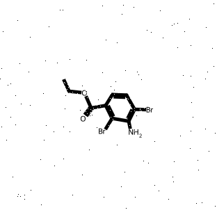 CCOC(=O)c1ccc(Br)c(N)c1Br